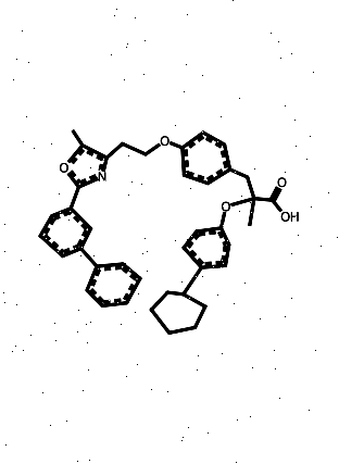 Cc1oc(-c2cccc(-c3ccccc3)c2)nc1CCOc1ccc(CC(C)(Oc2ccc(C3CCCCC3)cc2)C(=O)O)cc1